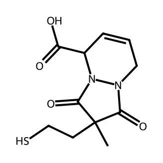 CC1(CCS)C(=O)N2CC=CC(C(=O)O)N2C1=O